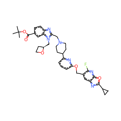 CC(C)(C)OC(=O)c1ccc2nc(CN3CCC(c4cccc(OCc5cc6nc(C7CC7)oc6nc5F)n4)CC3)n(C[C@@H]3CCO3)c2c1